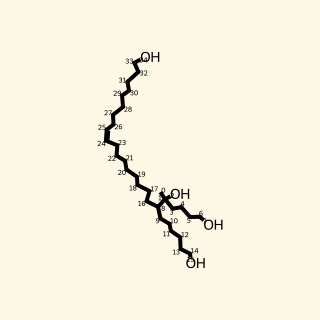 CC(O)(CCCCO)C(CCCCCCO)CCCCCCCC/C=C\CCCCCCCCO